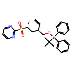 C=C[C@@H](CO[Si](c1ccccc1)(c1ccccc1)C(C)(C)C)C[C@@H](C)S(=O)(=O)c1ncccn1